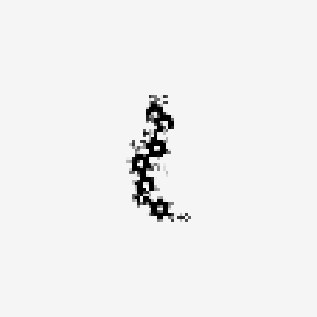 Cc1c(Nc2nccc3cc(C=O)cnc23)cccc1-c1cccc(-c2ccn3c(-c4ccc(C=O)cc4)nnc3c2)c1C